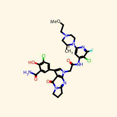 COCCN1CCN(c2cc(NC(=O)Cn3cc(-c4cc(Cl)c(O)c(C(N)=O)c4)c4c(=O)n5c(nc43)CCC5)c(Cl)c(F)n2)[C@@H](C)C1